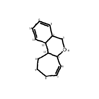 C1=CC2COC3C=CCCCC3C2C=C1